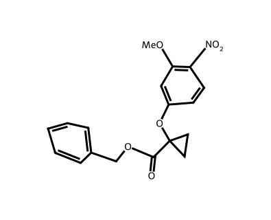 COc1cc(OC2(C(=O)OCc3ccccc3)CC2)ccc1[N+](=O)[O-]